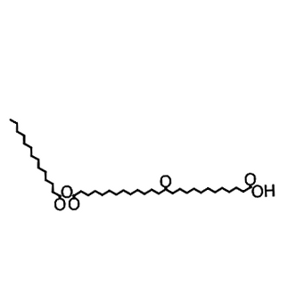 CCCCCCCCCCCCCC(=O)OC(=O)CCCCCCCCCCCCC(=O)CCCCCCCCCCCC(=O)O